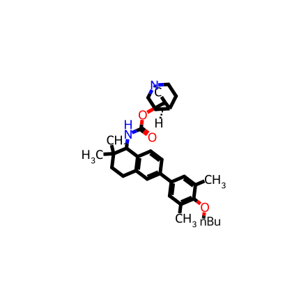 CCCCOc1c(C)cc(-c2ccc3c(c2)CCC(C)(C)C3NC(=O)O[C@H]2CN3CCC2CC3)cc1C